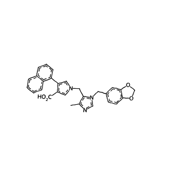 Cc1ncn(Cc2ccc3c(c2)OCO3)c1Cn1cc(C(=O)O)c(-c2cccc3ccccc23)c1